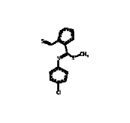 CSC(=Nc1ccc(Cl)cc1)c1ccc[c]c1C=S